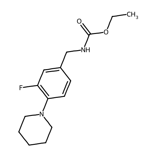 CCOC(=O)NCc1ccc(N2CCCCC2)c(F)c1